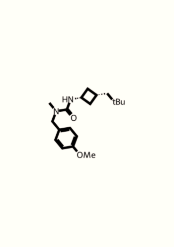 COc1ccc(CN(C)C(=O)N[C@H]2C[C@@H](CC(C)(C)C)C2)cc1